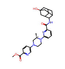 COC(=O)c1ccc(N2CCN(c3cccc(C(=O)NC4C5CC6CC4CC(O)(C6)C5)n3)[C@H](C)C2)cn1